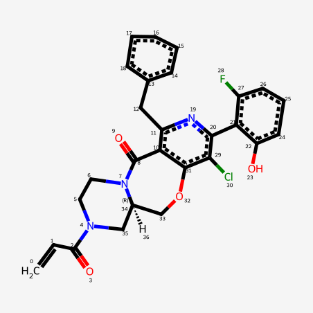 C=CC(=O)N1CCN2C(=O)c3c(Cc4ccccc4)nc(-c4c(O)cccc4F)c(Cl)c3OC[C@H]2C1